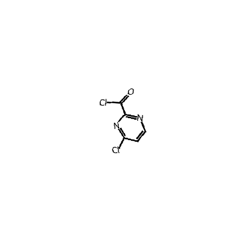 O=C(Cl)c1nccc(Cl)n1